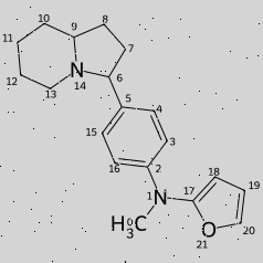 CN(c1ccc(C2CCC3CCCCN32)cc1)c1ccco1